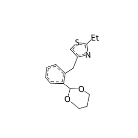 CCc1nc(Cc2ccccc2C2OCCCO2)cs1